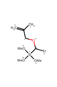 C=C(C)COC(CC)[Si](OC)(OC)OC